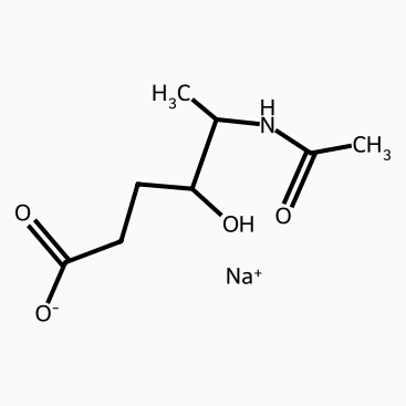 CC(=O)NC(C)C(O)CCC(=O)[O-].[Na+]